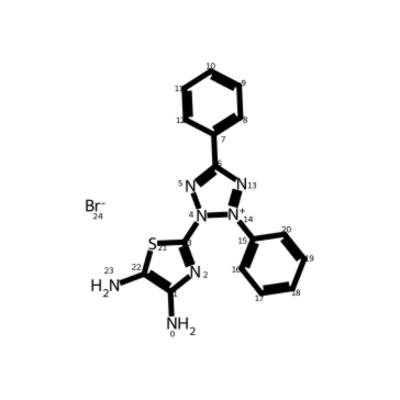 Nc1nc(-n2nc(-c3ccccc3)n[n+]2-c2ccccc2)sc1N.[Br-]